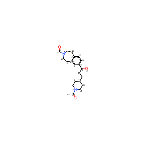 CC(=O)N1CCC(CCC(=O)c2ccc3c(c2)CCN(C=O)CC3)CC1